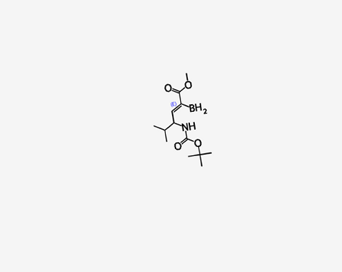 B/C(=C\C(NC(=O)OC(C)(C)C)C(C)C)C(=O)OC